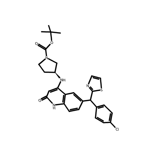 CC(C)(C)OC(=O)N1CC[C@H](Nc2cc(=O)[nH]c3ccc(C(c4ccc(Cl)cc4)c4nccs4)cc23)C1